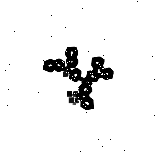 CC1(C)c2ccccc2-c2cc3c4cc5c6ccccc6c6ccccc6c5cc4n(-c4ccc(P(=O)(c5ccc6ccccc6c5)c5ccc6ccccc6c5)cc4)c3cc21